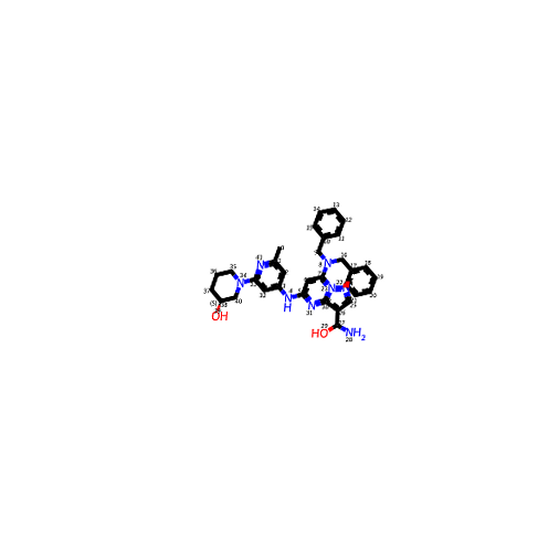 Cc1cc(Nc2cc(N(Cc3ccccc3)Cc3ccccc3)n3ncc(C(N)O)c3n2)cc(N2CCC[C@H](O)C2)n1